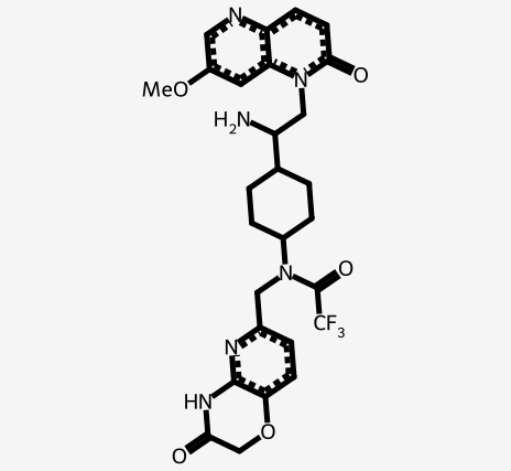 COc1cnc2ccc(=O)n(CC(N)C3CCC(N(Cc4ccc5c(n4)NC(=O)CO5)C(=O)C(F)(F)F)CC3)c2c1